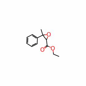 CCOC(=O)C1OC1(C)c1ccccc1